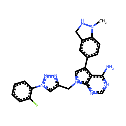 CN1NCc2cc(-c3cn(Cc4cn(-c5ccccc5F)nn4)c4ncnc(N)c34)ccc21